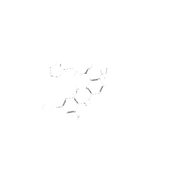 O=C(OCC1CCCO1)c1cc(Oc2c(F)cc(C(F)(F)F)cc2Cl)ccc1Cl